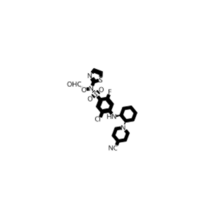 N#CC1CCN([C@H]2CCCC[C@@H]2Nc2cc(F)c(S(=O)(=O)N(OC=O)c3nccs3)cc2Cl)CC1